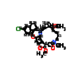 COC(=O)[C@@H]1CC(=O)N(C)CC/C=C/[C@H](OC)[C@@H]2CC[C@H]2CN2C[C@@]3(CCCc4cc(Cl)ccc43)COc3ccc1cc32